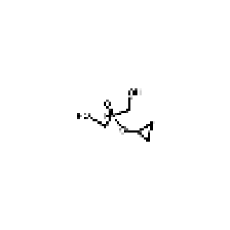 O=[SH](CO)(CO)OC1CC1